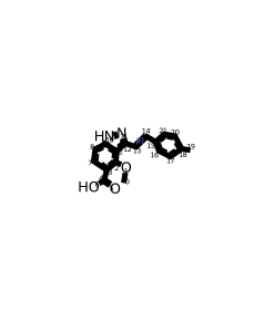 COc1c(C(=O)O)ccc2[nH]nc(/C=C/c3ccc(C)cc3)c12